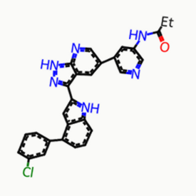 CCC(=O)Nc1cncc(-c2cnc3[nH]nc(-c4cc5c(-c6cccc(Cl)c6)cccc5[nH]4)c3c2)c1